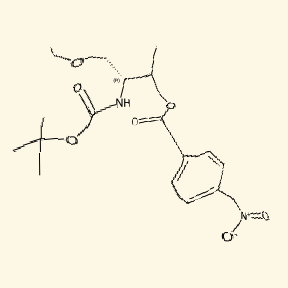 COC[C@@H](NC(=O)OC(C)(C)C)C(C)OC(=O)c1ccc([N+](=O)[O-])cc1